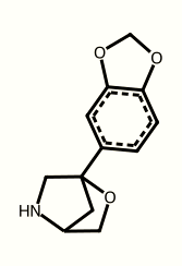 c1cc2c(cc1C13CNC(CO1)C3)OCO2